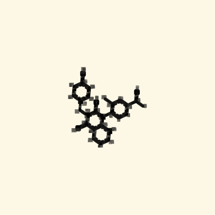 CC(=O)c1ccc(-n2c(=O)n(Cn3ccc(=O)cc3)c(=O)c3cccnc32)c(C)c1